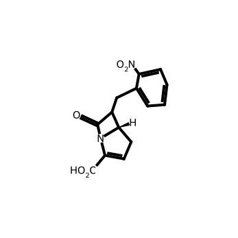 O=C(O)C1=CC[C@H]2C(Cc3ccccc3[N+](=O)[O-])C(=O)N12